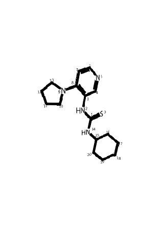 S=C(Nc1cnccc1N1CCCC1)NC1CCCCC1